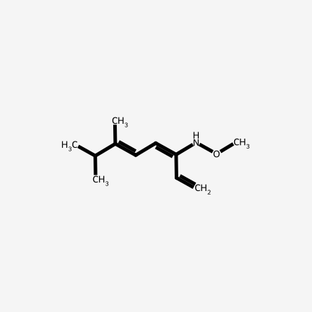 C=C/C(=C\C=C(/C)C(C)C)NOC